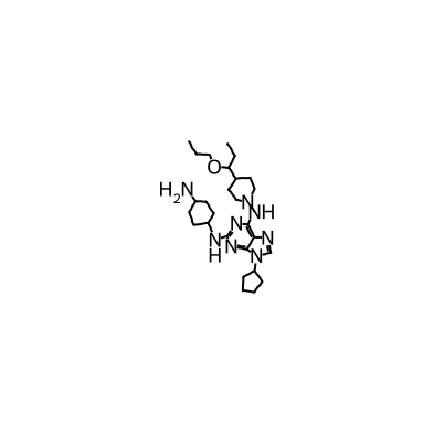 CCCOC(CC)C1CCN(Nc2nc(NC3CCC(N)CC3)nc3c2ncn3C2CCCC2)CC1